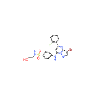 O=S(=O)(NCCO)c1ccc(Nc2cc(-c3ccccc3F)nc3c(Br)cnn23)cc1